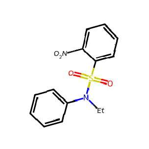 CCN(c1ccccc1)S(=O)(=O)c1ccccc1[N+](=O)[O-]